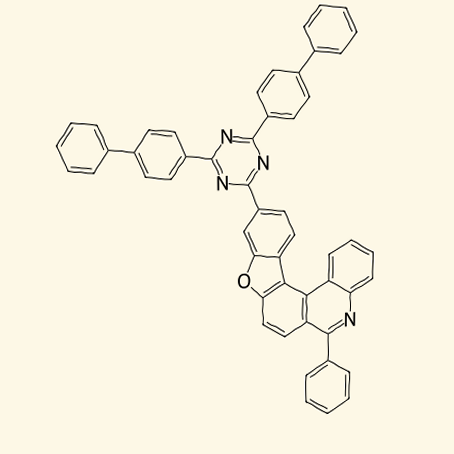 c1ccc(-c2ccc(-c3nc(-c4ccc(-c5ccccc5)cc4)nc(-c4ccc5c(c4)oc4ccc6c(-c7ccccc7)nc7ccccc7c6c45)n3)cc2)cc1